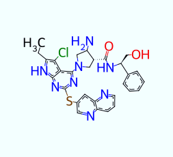 CCc1[nH]c2nc(Sc3cnc4cccnc4c3)nc(N3CC(N)[C@H](C(=O)N[C@@H](CO)c4ccccc4)C3)c2c1Cl